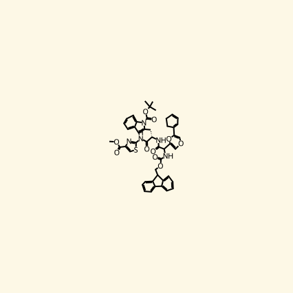 COC(=O)c1csc(NC(=O)[C@H](Cc2cc3ccccc3n2C(=O)OC(C)(C)C)NC(=O)C(NC(=O)OCC2c3ccccc3-c3ccccc32)C2=COC=C(C3=CC=CCC3)O2)n1